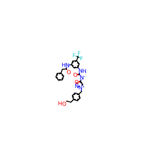 O=C(Cc1ccccc1)Nc1cc(NC(=O)[N-]c2c[n+](Cc3ccc(CCO)cc3)no2)cc(C(F)(F)F)c1